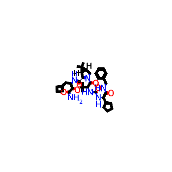 CC(C)(C)[C@H](NC(=O)N[C@H](C(=O)NCc1ccccc1)C1CCCC1)C(=O)N1C[C@H]2[C@@H]([C@H]1C(=O)NC(CC1CCC1)C(=O)C(N)=O)C2(C)C